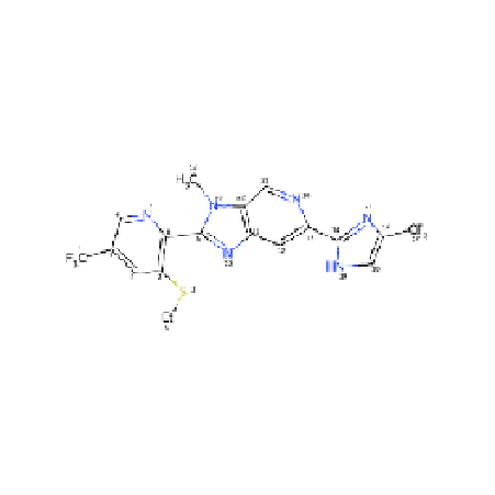 CCSc1cc(C(F)(F)F)cnc1-c1nc2cc(-c3nc(C(F)(F)F)c[nH]3)ncc2n1C